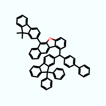 CC1(C)c2ccccc2-c2ccc(-c3c4ccccc4cc4c3oc3cccc(C(c5ccc(-c6ccccc6)cc5)c5ccc6c(c5)C(c5ccccc5)(c5ccccc5)c5ccccc5-6)c34)cc21